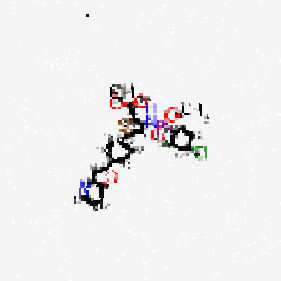 CCOP(=O)(Nc1cc(-c2ccc(-c3cc4ncccc4o3)cc2)sc1C(=O)OC)c1ccc(Cl)cc1F